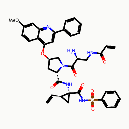 C=CC(=O)NC[C@H](N)C(=O)N1C[C@H](Oc2cc(-c3ccccc3)nc3cc(OC)ccc23)C[C@H]1C(=O)N[C@]1(C(=O)NS(=O)(=O)c2ccccc2)C[C@H]1C=C